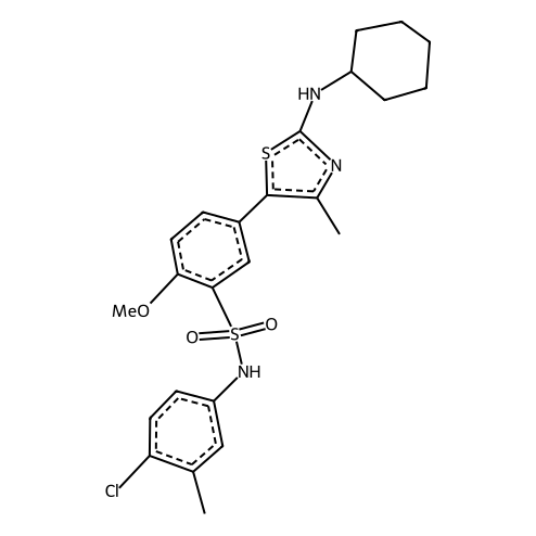 COc1ccc(-c2sc(NC3CCCCC3)nc2C)cc1S(=O)(=O)Nc1ccc(Cl)c(C)c1